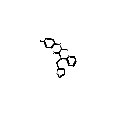 Cc1ccc(OC(C)C(=O)N(Cc2cccs2)c2ccccn2)cc1